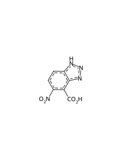 O=C(O)c1c([N+](=O)[O-])ccc2[nH]nnc12